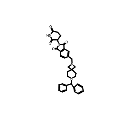 O=C1CCC(N2C(=O)c3ccc(CN4CC5(CCN(C(c6ccccc6)c6ccccc6)CC5)C4)cc3C2=O)C(=O)N1